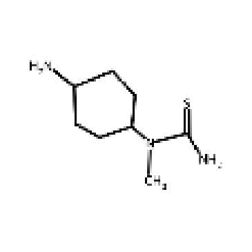 CN(C(N)=S)C1CCC(N)CC1